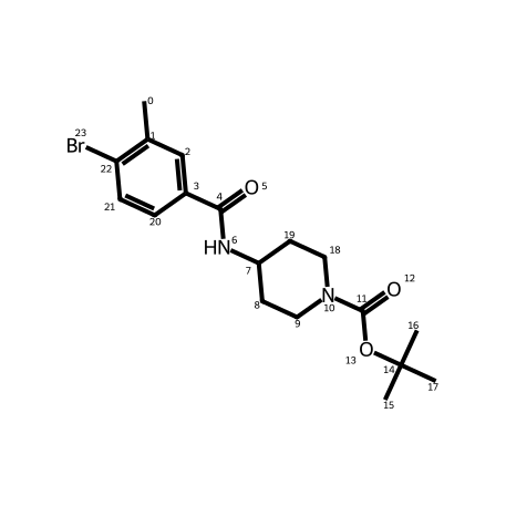 Cc1cc(C(=O)NC2CCN(C(=O)OC(C)(C)C)CC2)ccc1Br